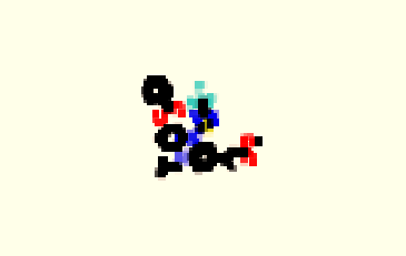 COC(=O)C[C@@H](C)c1ccc(N(CC(C)C)[C@H]2CC[C@@H](OC(=O)c3ccccc3)CC2)c(Nc2nc(C(F)(F)F)ns2)c1